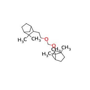 CC1(C)C2CCC(C2)C1CCOCOC1CC2CCC1(C)C2(C)C